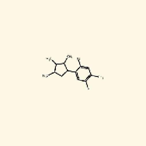 CCc1cc(C)c(F)cc1C1CC(C)C(C)C1C